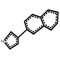 c1ccc2cc(-c3cc[te]c3)ccc2c1